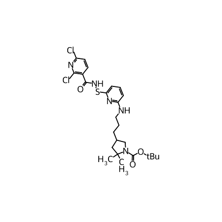 CC(C)(C)OC(=O)N1CC(CCCNc2cccc(SNC(=O)c3ccc(Cl)nc3Cl)n2)CC1(C)C